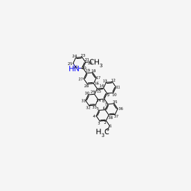 CCc1cccc2c(C3=c4ccccc4=C(c4ccc(C5=C(C)C=CCN5)cc4)C4C=CC=CC34)cccc12